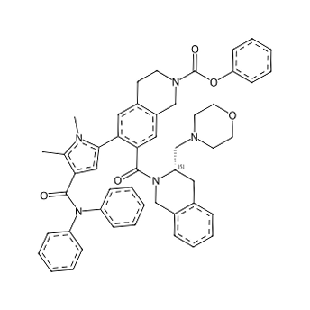 Cc1c(C(=O)N(c2ccccc2)c2ccccc2)cc(-c2cc3c(cc2C(=O)N2Cc4ccccc4C[C@H]2CN2CCOCC2)CN(C(=O)Oc2ccccc2)CC3)n1C